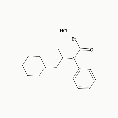 CCC(=O)N(c1ccccc1)C(C)CN1CCCCC1.Cl